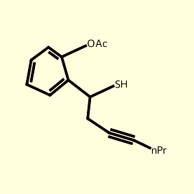 CCCC#CCC(S)c1ccccc1OC(C)=O